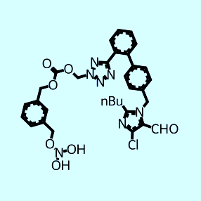 CCCCc1nc(Cl)c(C=O)n1Cc1ccc(-c2ccccc2-c2nnn(COC(=O)OCc3cccc(CON(O)O)c3)n2)cc1